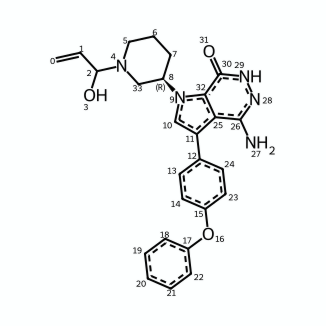 C=CC(O)N1CCC[C@@H](n2cc(-c3ccc(Oc4ccccc4)cc3)c3c(N)n[nH]c(=O)c32)C1